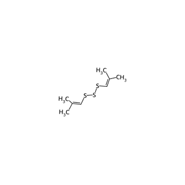 CC(C)=CSSSC=C(C)C